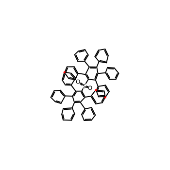 O=S(=O)(c1c(-c2ccccc2)c(-c2ccccc2)c(-c2ccccc2)c(-c2ccccc2)c1-c1ccccc1)c1c(-c2ccccc2)c(-c2ccccc2)c(-c2ccccc2)c(-c2ccccc2)c1-c1ccccc1